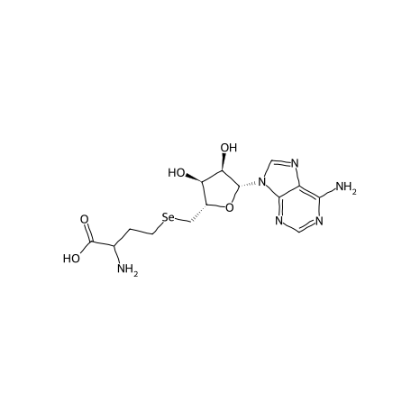 Nc1ncnc2c1ncn2[C@@H]1O[C@H](C[Se]CCC(N)C(=O)O)[C@@H](O)[C@H]1O